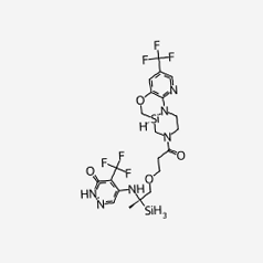 C[C@]([SiH3])(COCCC(=O)N1CCN2c3ncc(C(F)(F)F)cc3OC[Si@@H]2C1)Nc1cn[nH]c(=O)c1C(F)(F)F